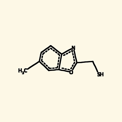 Cc1ccc2nc(CS)oc2c1